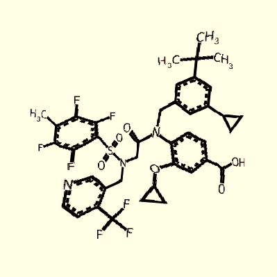 Cc1c(F)c(F)c(S(=O)(=O)N(CC(=O)N(Cc2cc(C3CC3)cc(C(C)(C)C)c2)c2ccc(C(=O)O)cc2OC2CC2)Cc2cnccc2C(F)(F)F)c(F)c1F